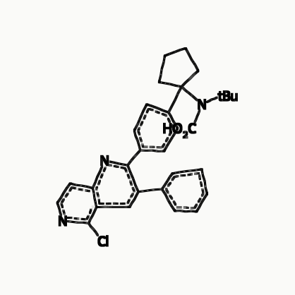 CC(C)(C)N(C(=O)O)C1(c2ccc(-c3nc4ccnc(Cl)c4cc3-c3ccccc3)cc2)CCCC1